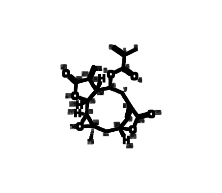 C=C(C)C(=O)O[C@H]1CC2=C[C@@H](C[C@@]3(C)O[C@H]3[C@H]3OC(=O)C(=C)[C@@H]31)OC2=O